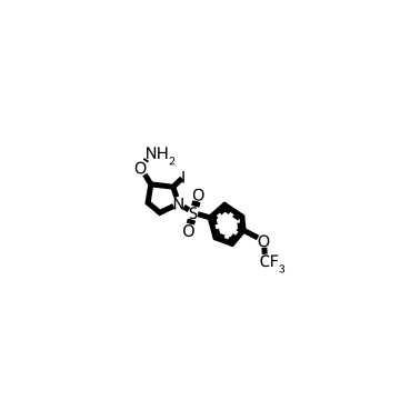 NOC1CCN(S(=O)(=O)c2ccc(OC(F)(F)F)cc2)C1I